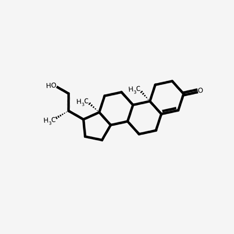 C[C@H](CO)C1CCC2C3CCC4=CC(=O)CC[C@]4(C)C3CC[C@@]21C